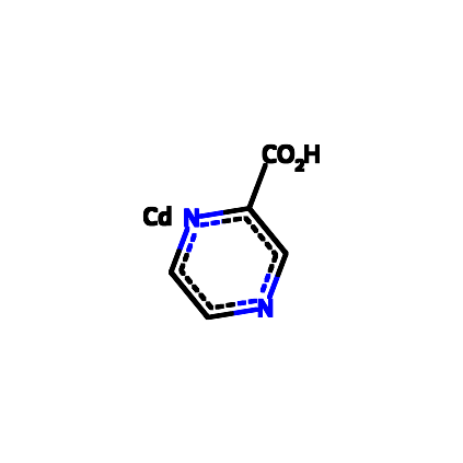 O=C(O)c1cnccn1.[Cd]